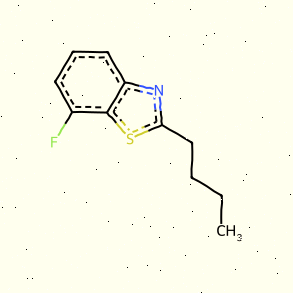 CCCCc1nc2cccc(F)c2s1